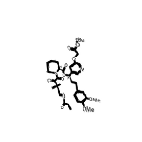 C=CC(=O)OCC(C)(C)C(=O)C(=O)N1CCCC[C@H]1C(=O)O[C@H](CCc1ccc(OC)c(OC)c1)c1cncc(OCC(=O)OC(C)(C)C)c1